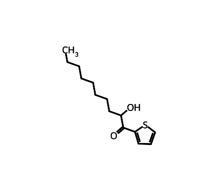 CCCCCCCCC(O)C(=O)c1cccs1